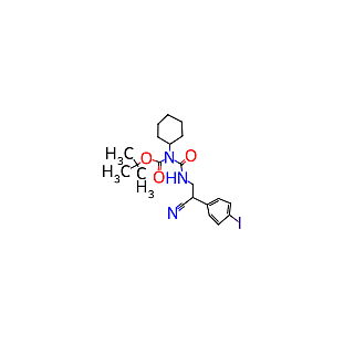 CC(C)(C)OC(=O)N(C(=O)NCC(C#N)c1ccc(I)cc1)C1CCCCC1